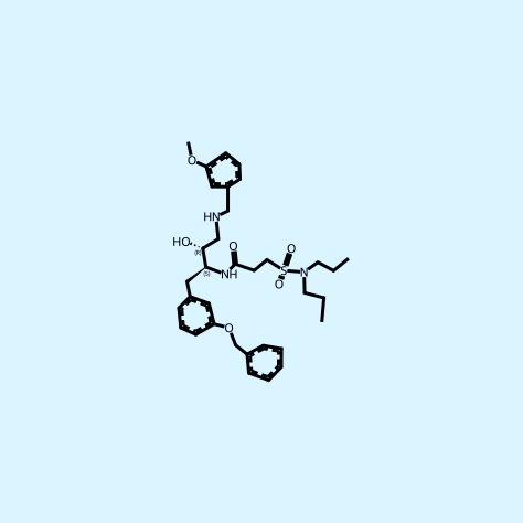 CCCN(CCC)S(=O)(=O)CCC(=O)N[C@@H](Cc1cccc(OCc2ccccc2)c1)[C@H](O)CNCc1cccc(OC)c1